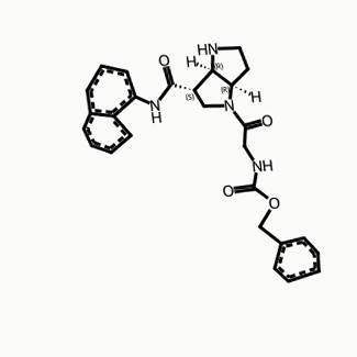 O=C(NCC(=O)N1C[C@H](C(=O)Nc2cccc3ccccc23)[C@H]2NCC[C@H]21)OCc1ccccc1